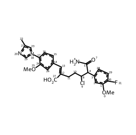 COc1cc(C(C(N)=O)C(Cl)CCC(=Cc2ccc(-n3cnc(C)c3)c(OC)c2)C(=O)O)ccc1F